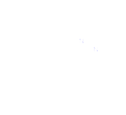 In1cc(C=C2CCC2)cn1